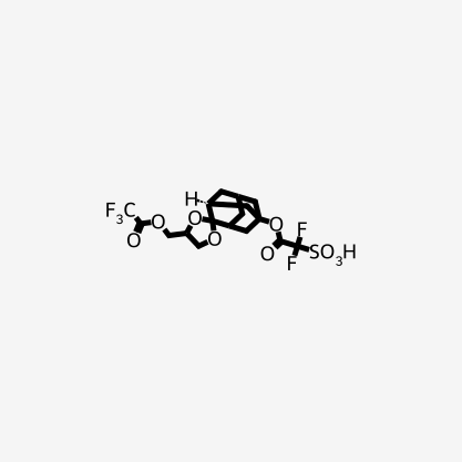 O=C(OCC1COC2(O1)C1CC3C[C@H]2CC(OC(=O)C(F)(F)S(=O)(=O)O)(C3)C1)C(F)(F)F